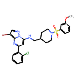 O=S(=O)(c1cccc(OC(F)(F)F)c1)N1CCC(CNc2cc(-c3ccccc3Cl)nc3c(Br)cnn23)CC1